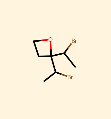 CC(Br)C1(C(C)Br)CCO1